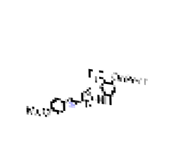 CCCCCOc1ccc(Nc2nc(/C=C/c3ccc(OC)cc3)cs2)cc1C(F)(F)F